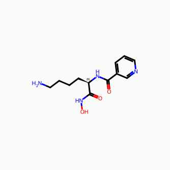 NCCCC[C@@H](NC(=O)c1cccnc1)C(=O)NO